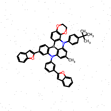 Cc1cc2c3c(c1)N(c1ccc(C(C)(C)C)cc1)c1c(ccc4c1OCCO4)B3c1ccc(-c3cc4ccccc4o3)cc1N2c1cccc(-c2cc3ccccc3o2)c1